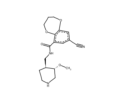 CO[C@@H]1CNCC[C@H]1CNC(=O)c1cc(C#N)cc2c1OCCCO2